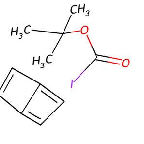 CC(C)(C)OC(=O)I.c1cc2ccc1-2